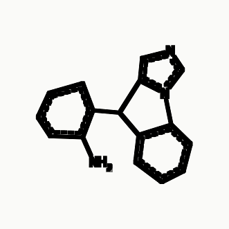 Nc1ccccc1C1c2ccccc2-n2cncc21